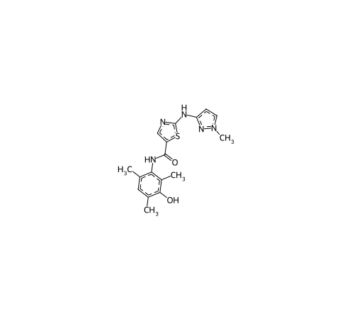 Cc1cc(C)c(NC(=O)c2cnc(Nc3ccn(C)n3)s2)c(C)c1O